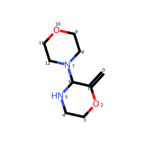 C=C1OCCNC1N1CCOCC1